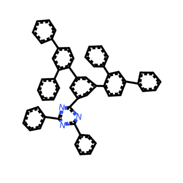 c1ccc(-c2ccc(-c3cc(-c4nc(-c5ccccc5)nc(-c5ccccc5)n4)cc(-c4ccc(-c5ccccc5)cc4-c4ccccc4)c3)c(-c3ccccc3)c2)cc1